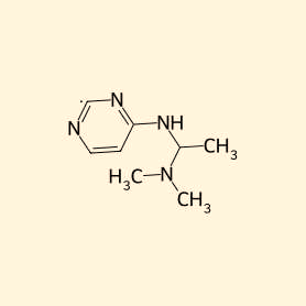 CC(Nc1ccn[c]n1)N(C)C